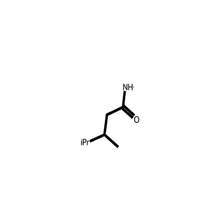 CC(C)C(C)CC([NH])=O